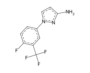 Nc1ccn(-c2ccc(F)c(C(F)(F)F)c2)n1